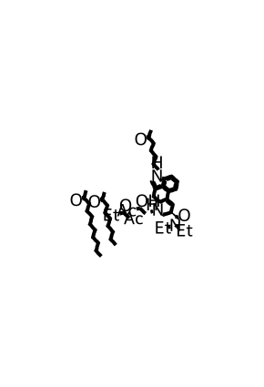 CC(=O)C(C)O.CCC(=O)C(C)=O.CCCCCC(C)=O.CCCCCCCC(C)=O.CCCCCCCCCC(C)=O.CCN(CC)C(=O)[C@@H]1C=C2c3cccc4[nH]cc(c34)C[C@H]2N(C)C1